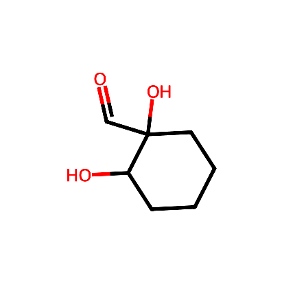 O=CC1(O)CCCCC1O